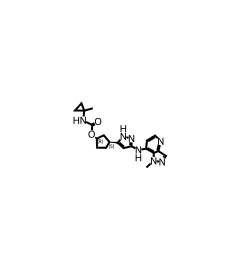 Cn1ncc2nccc(Nc3cc([C@H]4CC[C@@H](OC(=O)NC5(C)CC5)C4)[nH]n3)c21